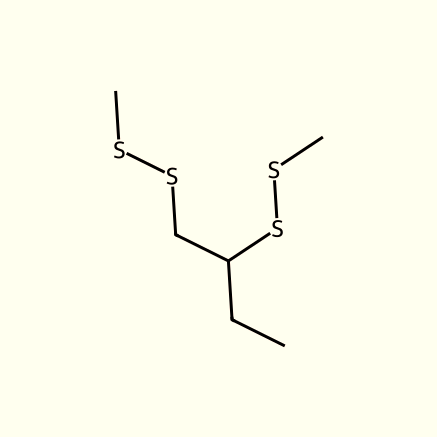 CCC(CSSC)SSC